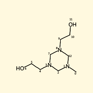 CN1CN(CCO)CN(CCO)C1